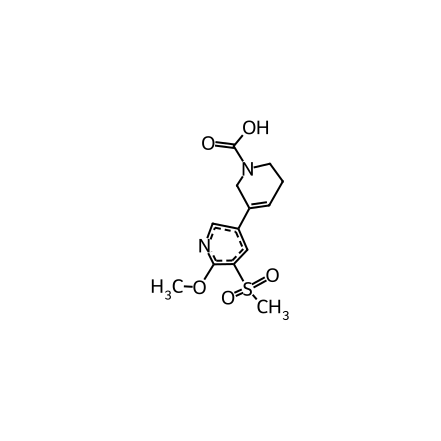 COc1ncc(C2=CCCN(C(=O)O)C2)cc1S(C)(=O)=O